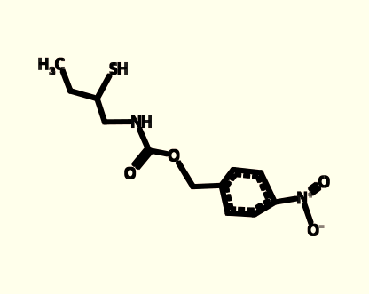 CCC(S)CNC(=O)OCc1ccc([N+](=O)[O-])cc1